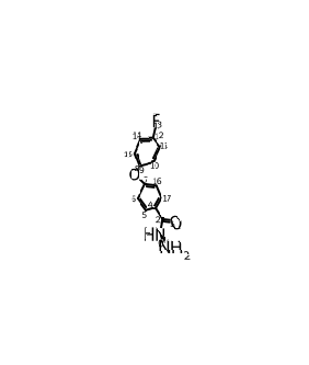 NNC(=O)c1ccc(Oc2ccc(F)cc2)cc1